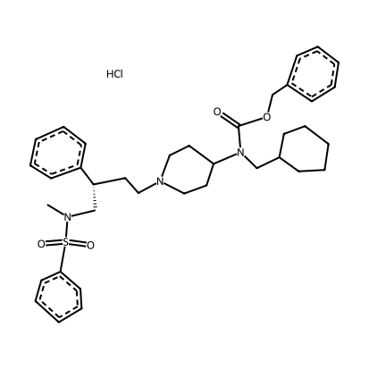 CN(C[C@@H](CCN1CCC(N(CC2CCCCC2)C(=O)OCc2ccccc2)CC1)c1ccccc1)S(=O)(=O)c1ccccc1.Cl